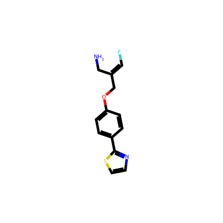 NC/C(=C\F)COc1ccc(-c2nccs2)cc1